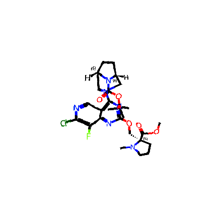 COC(=O)[C@@]1(COc2nc(N3C[C@H]4CC[C@@H](C3)N4C(=O)OC(C)(C)C)c3cnc(Cl)c(F)c3n2)CCCN1C